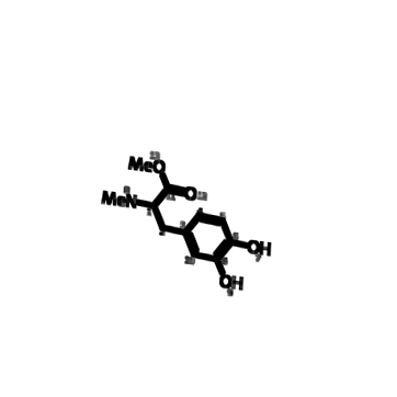 CNC(Cc1ccc(O)c(O)c1)C(=O)OC